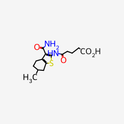 CC1CCc2c(sc(NC(=O)CCCC(=O)O)c2C(N)=O)C1